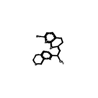 CC(C)c1ccc2c(n1)OC(CC(C)c1ccc3c(n1)COCC3)CC2